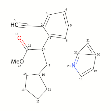 C#Cc1ccccc1C(CC1CCCC1)C(=O)OC.c1cc2cc-2n1